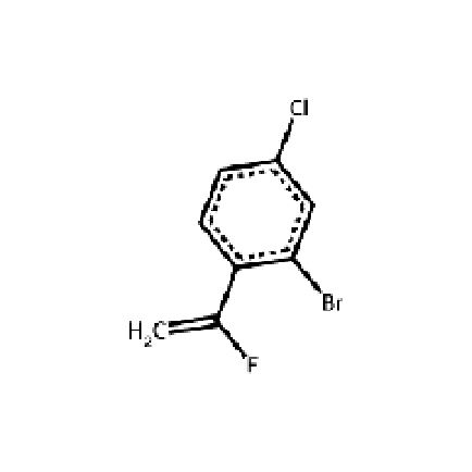 C=C(F)c1ccc(Cl)cc1Br